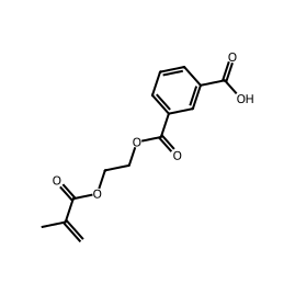 C=C(C)C(=O)OCCOC(=O)c1cccc(C(=O)O)c1